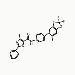 Cc1cc2c(cc1-c1ccc(NC(=O)c3oc(-c4ccccc4)nc3C)cc1)OC(F)(F)O2